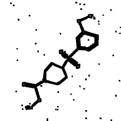 CC(C)(C)OC(=O)N1CCC(S(=O)(=O)c2cccc(OC(F)(F)F)c2)CC1